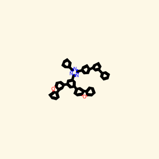 c1ccc(-c2cccc(-c3ccc(-c4nc(-c5ccccc5)nc(-c5cc(-c6ccc7oc8ccccc8c7c6)cc(-c6ccc7oc8ccccc8c7c6)c5)n4)cc3)c2)cc1